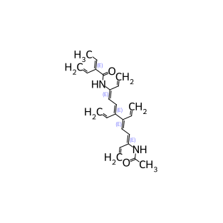 C=C\C(=C/C=C(C=C)/C(C=C)=C/C=C(\C=C)NC(=O)/C(C=C)=C/C)NC(C)=O